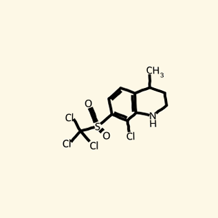 CC1CCNc2c1ccc(S(=O)(=O)C(Cl)(Cl)Cl)c2Cl